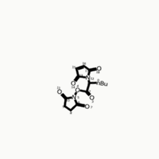 CCCCC(C(=O)ON1C(=O)CCC1=O)N1C(=O)C=CC1=O